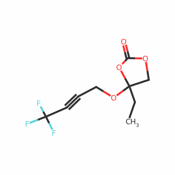 CCC1(OCC#CC(F)(F)F)COC(=O)O1